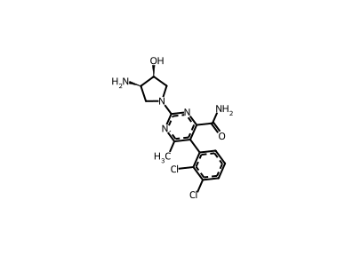 Cc1nc(N2C[C@@H](N)[C@@H](O)C2)nc(C(N)=O)c1-c1cccc(Cl)c1Cl